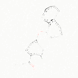 CC(=O)c1ccc(Oc2cccc3ccccc23)cc1Cl